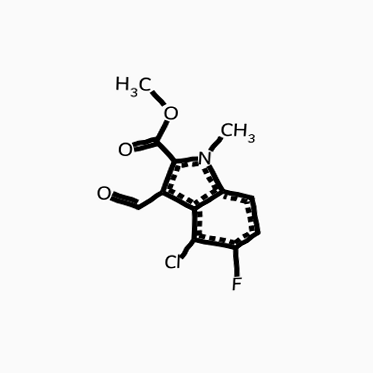 COC(=O)c1c(C=O)c2c(Cl)c(F)ccc2n1C